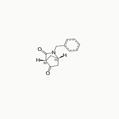 O=C1C[C@@H]2C[C@H]1C(=O)N2Cc1ccccc1